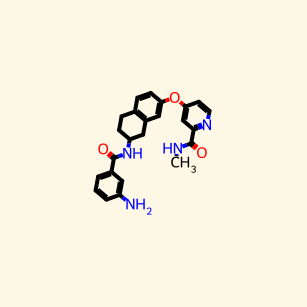 CNC(=O)c1cc(Oc2ccc3c(c2)CC(NC(=O)c2cccc(N)c2)CC3)ccn1